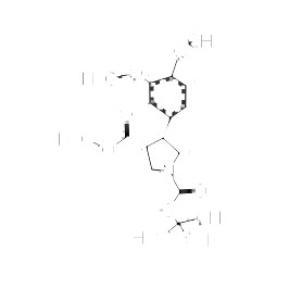 COC(=O)[C@H]1CN(C(=O)OC(C)(C)C)C[C@@H]1c1ccc(OC)c(OC)c1